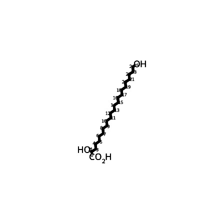 O=C(O)C(O)CCCCCCCCCCCCCCCCCCCCCCO